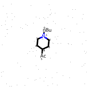 CCCCN1CC[C](C(C)=O)CC1